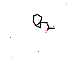 CC(=O)CC12CCCCC1C2